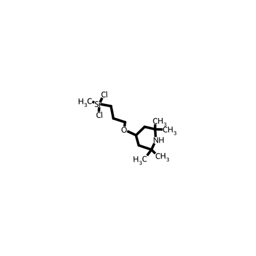 CC1(C)CC(OCCC[Si](C)(Cl)Cl)CC(C)(C)N1